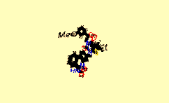 CCc1cc2c(=O)n(CC(=O)c3cccc(OC)c3)c(=O)n(Cc3ccc(-c4ccccc4-c4noc(=O)[nH]4)cc3)c2s1